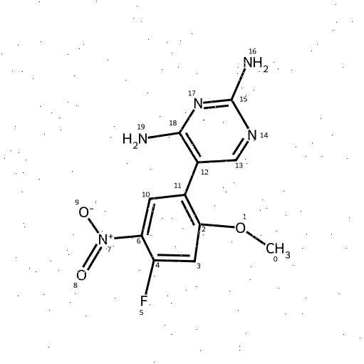 COc1cc(F)c([N+](=O)[O-])cc1-c1cnc(N)nc1N